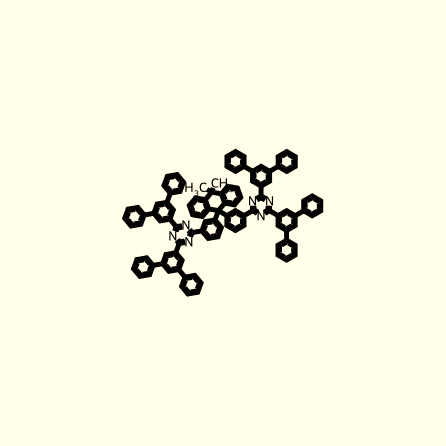 CC1(C)c2ccccc2C(c2cccc(-c3nc(-c4cc(-c5ccccc5)cc(-c5ccccc5)c4)nc(-c4cc(-c5ccccc5)cc(-c5ccccc5)c4)n3)c2)(c2cccc(-c3nc(-c4cc(-c5ccccc5)cc(-c5ccccc5)c4)nc(-c4cc(-c5ccccc5)cc(-c5ccccc5)c4)n3)c2)c2ccccc21